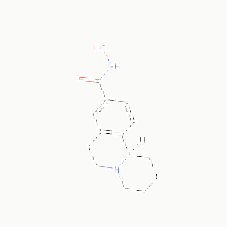 O=C(NO)c1ccc2c(c1)CCN1CCCC[C@H]21